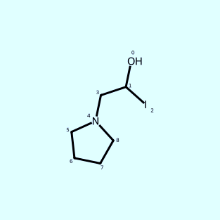 OC(I)CN1CCCC1